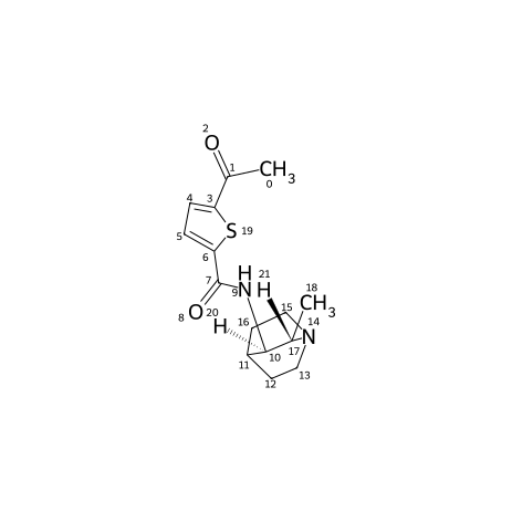 CC(=O)c1ccc(C(=O)N[C@@H]2C3CCN(CC3)[C@H]2C)s1